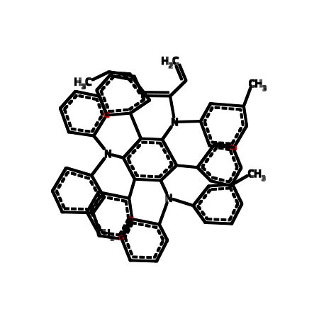 C=C/C(=C\C=C/C)N(c1cccc(C)c1)c1c(-c2ccccc2)c(N(c2ccccc2)c2cccc(C)c2)c(-c2ccccc2)c(N(c2ccccc2)c2cccc(C)c2)c1-c1ccccc1